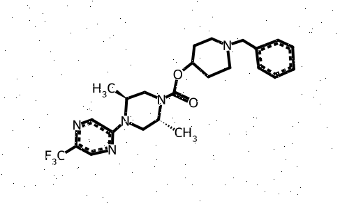 C[C@@H]1CN(c2cnc(C(F)(F)F)cn2)[C@@H](C)CN1C(=O)OC1CCN(Cc2ccccc2)CC1